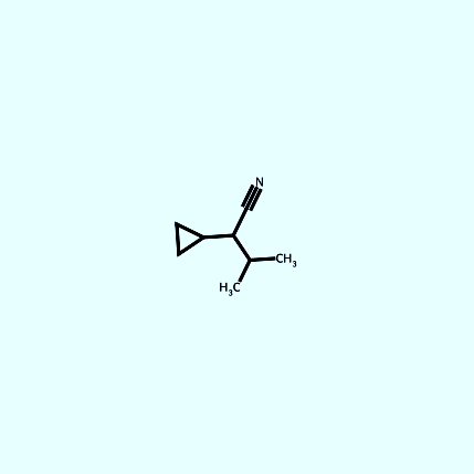 CC(C)C(C#N)C1CC1